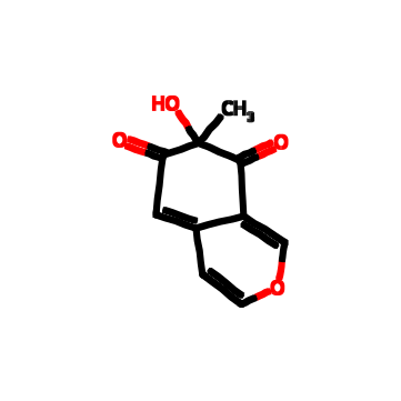 CC1(O)C(=O)C=C2C=COC=C2C1=O